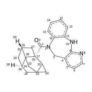 O=C(N1Cc2cccnc2Nc2ccccc21)[C@@]12C[C@@H]3C[C@@H](CC4(CC41)C3)C2